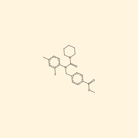 COC(=O)c1ccc(CN(C(=O)N2CCCCC2)c2ccc(C)cc2F)cc1